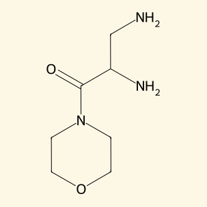 NCC(N)C(=O)N1CCOCC1